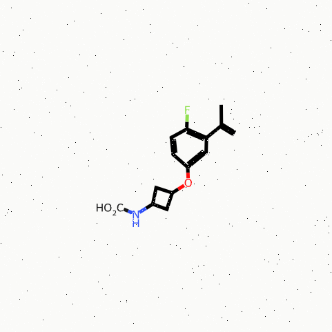 C=C(C)c1cc(OC2CC(NC(=O)O)C2)ccc1F